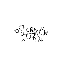 COc1ccccc1Oc1c(C(C)(C)C)cc(N2CCN(C)CC2)c(S(=O)(=O)Nc2ccncn2)c1Cl